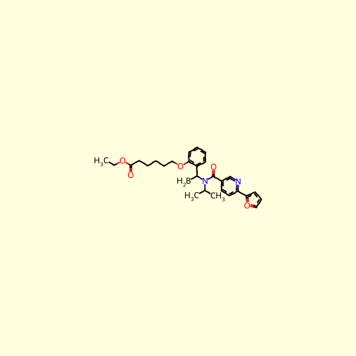 BC(c1ccccc1OCCCCCC(=O)OCC)N(C(=O)c1ccc(-c2ccco2)nc1)C(C)C